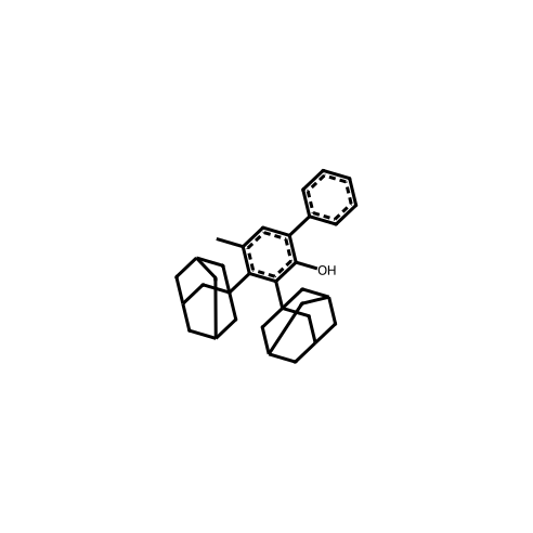 Cc1cc(-c2ccccc2)c(O)c(C23CC4CC(CC(C4)C2)C3)c1C12CC3CC(CC(C3)C1)C2